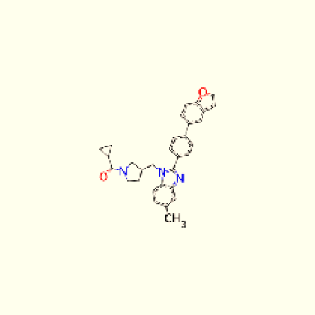 Cc1ccc2c(c1)nc(-c1ccc(-c3ccc4occc4c3)cc1)n2CC1CCN(C(=O)C2CC2)C1